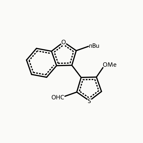 CCCCc1oc2ccccc2c1-c1c(OC)csc1C=O